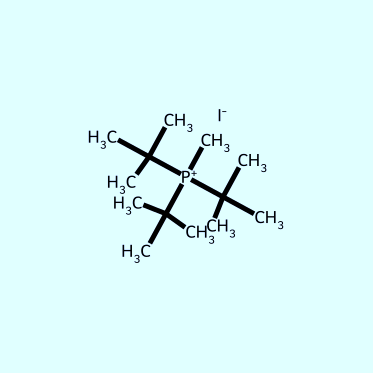 CC(C)(C)[P+](C)(C(C)(C)C)C(C)(C)C.[I-]